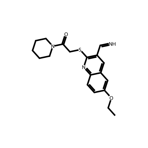 CCOc1ccc2nc(SCC(=O)N3CCCCC3)c(C=N)cc2c1